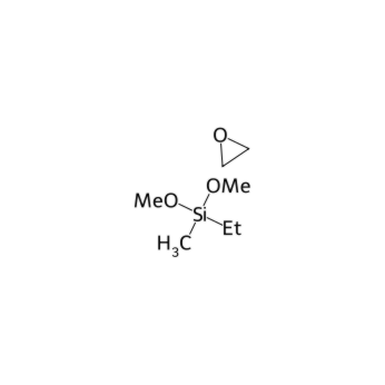 C1CO1.CC[Si](C)(OC)OC